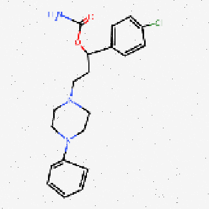 NC(=O)OC(CCN1CCN(c2ccccc2)CC1)c1ccc(Cl)cc1